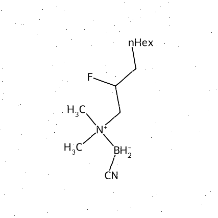 CCCCCCCC(F)C[N+](C)(C)[BH2-]C#N